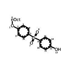 CCCCCCCCOc1ccc(S(=O)(=O)c2ccc(O)cc2)cc1